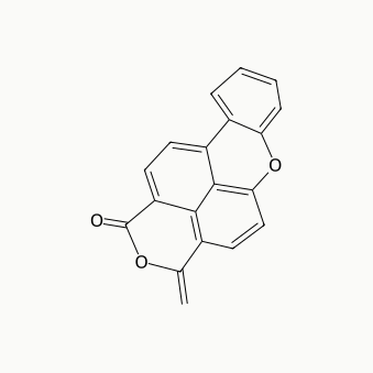 C=c1oc(=O)c2ccc3c4c(ccc1c42)Oc1ccccc1-3